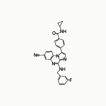 N#Cc1ccc2c(c1)nc(NCc1cccc(F)c1)c1ncc(-c3ccc(C(=O)NC4CC4)cc3)n12